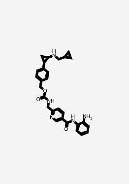 Nc1ccccc1NC(=O)c1ccc(CNC(=O)OCc2ccc(C3CC3NCC3CC3)cc2)nc1